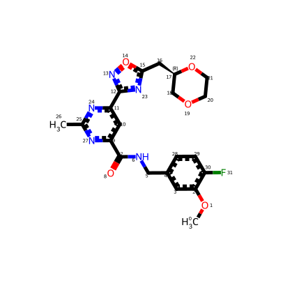 COc1cc(CNC(=O)c2cc(-c3noc(C[C@@H]4COCCO4)n3)nc(C)n2)ccc1F